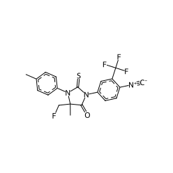 [C-]#[N+]c1ccc(N2C(=O)C(C)(CF)N(c3ccc(C)cc3)C2=S)cc1C(F)(F)F